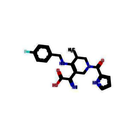 CC1CN(C(=O)c2ccc[nH]2)CC(C(=N)C(=O)O)=C1NCc1ccc(F)cc1